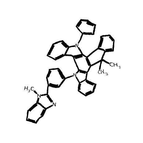 Cn1c(-c2cccc(-n3c4ccccc4c4c5c(c6c(c7ccccc7n6-c6ccccc6)c43)-c3ccccc3C5(C)C)c2)nc2ccccc21